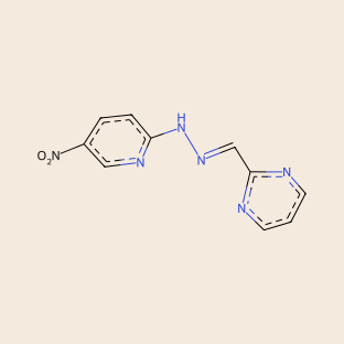 O=[N+]([O-])c1ccc(NN=Cc2ncccn2)nc1